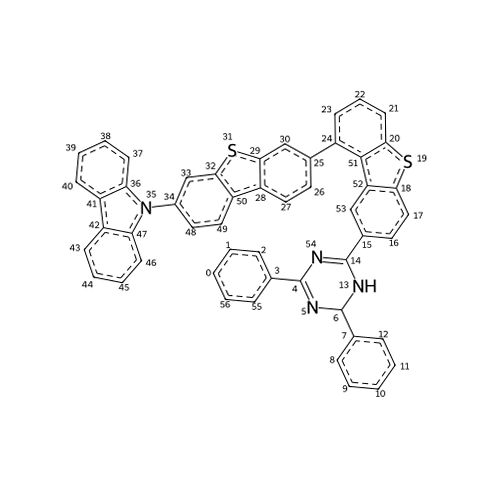 c1ccc(C2=NC(c3ccccc3)NC(c3ccc4sc5cccc(-c6ccc7c(c6)sc6cc(-n8c9ccccc9c9ccccc98)ccc67)c5c4c3)=N2)cc1